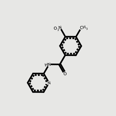 Cc1ccc(C(=O)Nc2ccccn2)cc1[N+](=O)[O-]